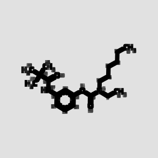 CCCCCCN(CC)C(=O)Oc1cccc(NC(=O)C(C)(C)C)c1